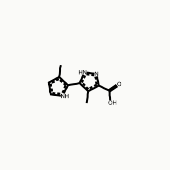 Cc1cc[nH]c1-c1[nH]nc(C(=O)O)c1C